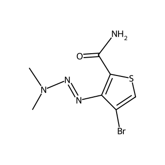 CN(C)N=Nc1c(Br)csc1C(N)=O